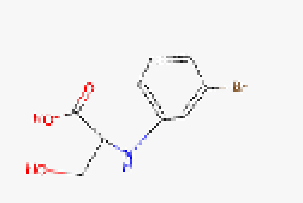 O=C(O)C(CO)Nc1cccc(Br)c1